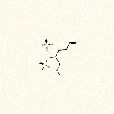 O=C[C@H](F)[C@@H](OP(=O)(O)O)[C@H](OP(=O)(O)O)[C@H](O)CO